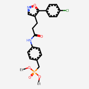 CCOP(=O)(Cc1ccc(NC(=O)CCc2cnoc2-c2ccc(Cl)cc2)cc1)OCC